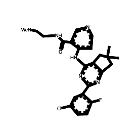 CNCCNC(=O)c1cnccc1Nc1nc(-c2cc(Cl)ccc2F)nc2c1CC(C)(C)C2